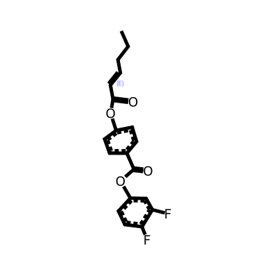 CCC/C=C/C(=O)Oc1ccc(C(=O)Oc2ccc(F)c(F)c2)cc1